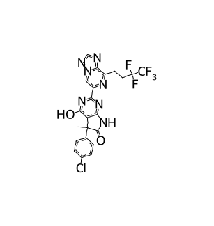 CC1(c2ccc(Cl)cc2)C(=O)Nc2nc(-c3cn4ncnc4c(CCC(F)(F)C(F)(F)F)n3)nc(O)c21